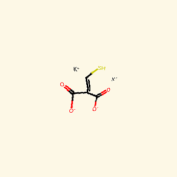 O=C([O-])C(=CS)C(=O)[O-].[K+].[K+]